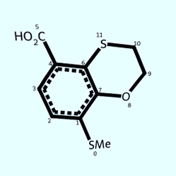 CSc1ccc(C(=O)O)c2c1OCCS2